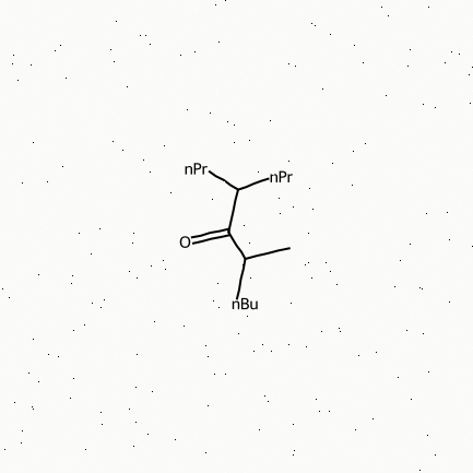 CCCCC(C)C(=O)C(CCC)CCC